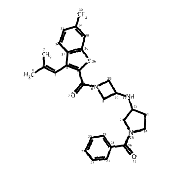 CC(C)=Cc1c(C(=O)N2CC(NC3CCN(C(=O)c4ccccc4)C3)C2)sc2cc(C(F)(F)F)ccc12